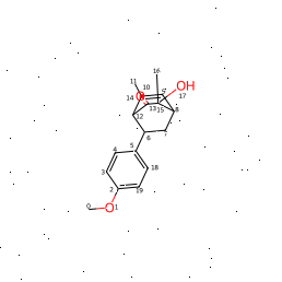 COc1ccc(C2CC3C=C(C)C2C(=O)C3(C)O)cc1